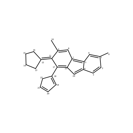 Cc1ccc2c(c1)=c1cc(C)c(=C3CCCC3)c(C3=CC=CC3)c1[C]=2